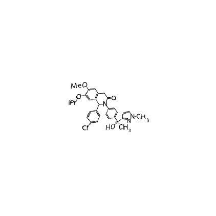 COc1cc2c(cc1OC(C)C)C(c1ccc(Cl)cc1)N(c1ccc([C@](C)(O)c3ccn(C)n3)cc1)C(=O)C2